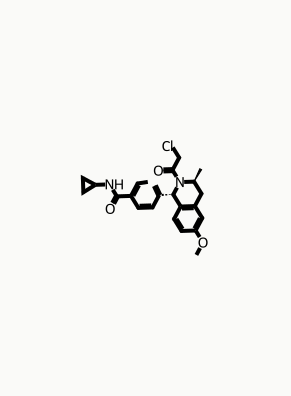 C=C(/C=C\C(=C/C)C(=O)NC1CC1)[C@H]1c2ccc(OC)cc2C[C@H](C)N1C(=O)CCl